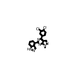 Cn1ncc2c(-c3ccc(Cl)c(Cl)c3)nc(-c3cccc4[nH]ncc34)nc21